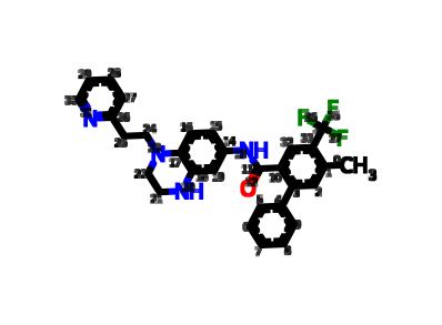 Cc1cc(-c2ccccc2)c(C(=O)Nc2ccc3c(c2)NCCN3CCc2ccccn2)cc1C(F)(F)F